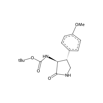 COc1ccc([C@@H]2CNC(=O)[C@H]2NC(=O)OC(C)(C)C)cc1